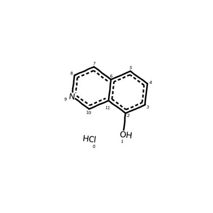 Cl.Oc1cccc2ccncc12